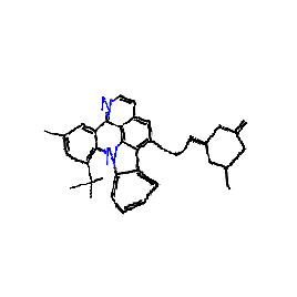 C=C1CC(C)CC(CCc2cc3ccnc4c5cc(C)cc(C(C)(C)C)c5n5c6ccccc6c2c5c34)C1